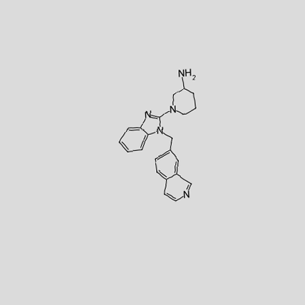 NC1CCCN(c2nc3ccccc3n2Cc2ccc3ccncc3c2)C1